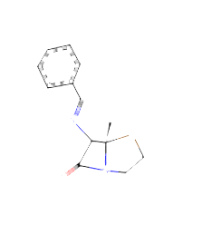 O=C1C(N=Cc2ccccc2)[C@@H]2SCCN12